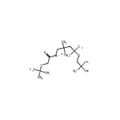 CC(C)(C)COC(C)(C)CC(C)(C)CNC(=O)COC(C)(C)C